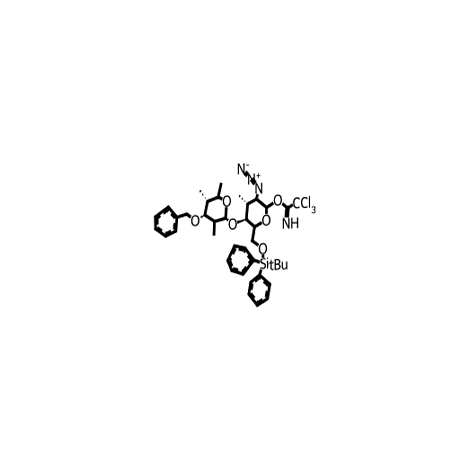 CC1O[C@@H](O[C@@H]2C(CO[Si](c3ccccc3)(c3ccccc3)C(C)(C)C)OC(OC(=N)C(Cl)(Cl)Cl)C(N=[N+]=[N-])[C@H]2C)C(C)[C@H](OCc2ccccc2)[C@@H]1C